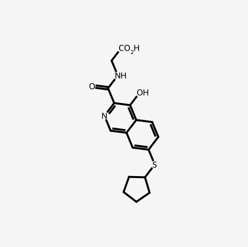 O=C(O)CNC(=O)c1ncc2cc(SC3CCCC3)ccc2c1O